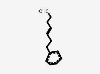 O=[C]CCC=CCCc1ccccc1